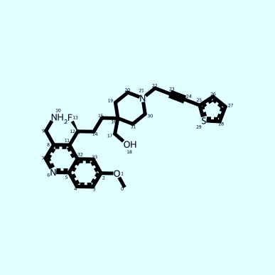 COc1ccc2ncc(CN)c([C@@H](F)CCC3(CO)CCN(CC#Cc4cccs4)CC3)c2c1